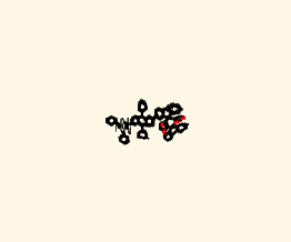 c1ccc(-c2nc(-c3ccccc3)nc(-c3ccc4c(-c5ccccc5)c5cc(-c6ccc7c(c6)C6(c8ccccc8-7)c7ccccc7C7(c8ccccc8-c8ccccc87)c7ccccc76)ccc5c(-c5ccccc5)c4c3)n2)cc1